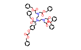 O=C(COc1ccc(C[C@@H](C(=O)OCc2ccccc2)N(CCN(CC(=O)OCc2ccccc2)CC(=O)OCc2ccccc2)CCN(CC(=O)OCc2ccccc2)CC(=O)OCc2ccccc2)cc1)OCc1ccccc1